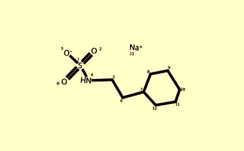 O=S(=O)([O-])NCCC1CCCCC1.[Na+]